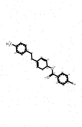 Cc1ccc(CCC2=CCC(OC(=O)c3ccc(I)cc3)C=C2)cc1